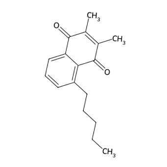 CCCCCc1cccc2c1C(=O)C(C)=C(C)C2=O